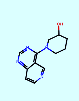 OC1CCCN(c2ncnc3ccncc23)C1